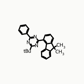 CC(C)(C)c1nc(-c2ccccc2)nc(-c2cccc3c2-c2ccccc2C3(C)C)n1